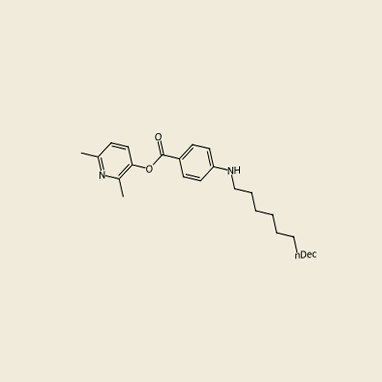 CCCCCCCCCCCCCCCCNc1ccc(C(=O)Oc2ccc(C)nc2C)cc1